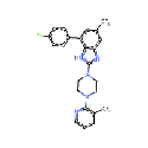 Fc1ccc(-c2cc(C(F)(F)F)cc3nc(N4CCN(c5ncccc5C(F)(F)F)CC4)[nH]c23)cc1